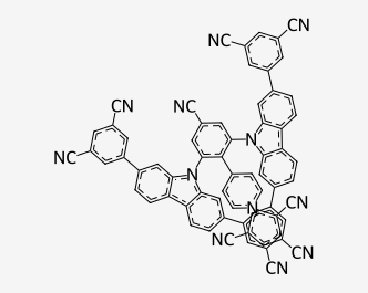 N#Cc1cc(C#N)cc(-c2ccc3c4ccc(-c5cc(C#N)cc(C#N)c5)cc4n(-c4cc(C#N)cc(-n5c6cc(-c7cc(C#N)cc(C#N)c7)ccc6c6ccc(-c7cc(C#N)cc(C#N)c7)cc65)c4-c4ccncc4)c3c2)c1